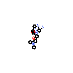 N#Cc1ccc(-n2c3ccccc3c3c4oc5c(ccc6c5c5ccccc5n6-c5ccccc5)c4ccc32)c(-n2c3ccccc3c3ccccc32)c1C#N